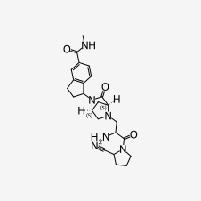 CNC(=O)c1ccc2c(c1)CCC2N1C(=O)[C@@H]2C[C@H]1CN2CC(N)C(=O)N1CCCC1C#N